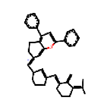 C=C1C(=C(C)C)CCC/C1=C\C1=CC(/C=C2\C=C3OC(c4ccccc4)=CC(c4ccccc4)=C3CC2)CCC1